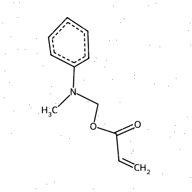 C=CC(=O)OCN(C)c1ccccc1